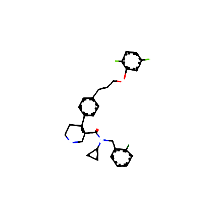 O=C(C1=C(c2ccc(CCCOc3cc(F)ccc3F)cc2)CCNC1)N(Cc1ccccc1Cl)C1CC1